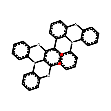 c1ccc(N2c3ccccc3Sc3cccc(-c4ccc5c6c4Oc4ccccc4B6c4ccccc4O5)c32)cc1